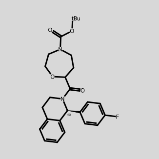 CC(C)(C)OC(=O)N1CCOC(C(=O)N2CCc3ccccc3[C@@H]2c2ccc(F)cc2)CC1